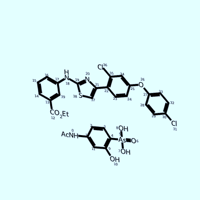 CC(=O)Nc1ccc([As](=O)(O)O)c(O)c1.CCOC(=O)c1cccc(Nc2nc(-c3ccc(Oc4ccc(Cl)cc4)cc3Cl)cs2)c1